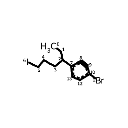 CCC(CCCI)c1c#cc(Br)cc1